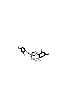 CC[Si](CC)(COc1ccc(F)cc1I)COc1c(C)cc(F)cc1I